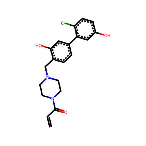 C=CC(=O)N1CCN(Cc2ccc(-c3cc(O)ccc3Cl)cc2O)CC1